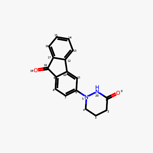 O=C1CCCN(c2ccc3c(c2)-c2ccccc2C3=O)N1